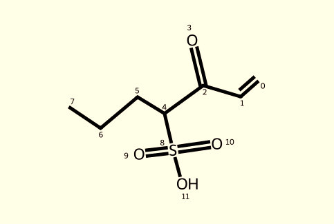 C=CC(=O)C(CCC)S(=O)(=O)O